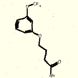 CCCC(=O)CCCOc1cccc(OC(F)(F)F)c1